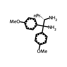 CCC[C@H](N)C(N)(c1ccc(OC)cc1)c1ccc(OC)cc1